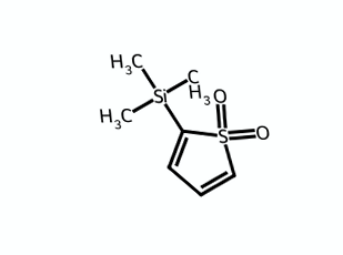 C[Si](C)(C)C1=CC=CS1(=O)=O